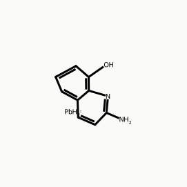 Nc1ccc2cccc(O)c2n1.[PbH2]